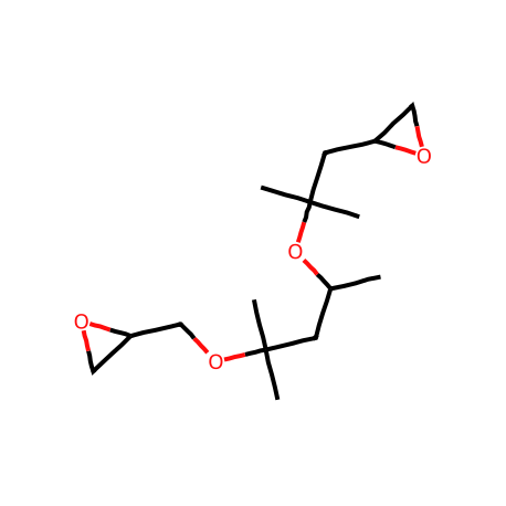 CC(CC(C)(C)OCC1CO1)OC(C)(C)CC1CO1